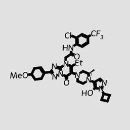 CCc1c(N2CCN(c3cnn(C4CCC4)c3O)[C@H](C)C2)c(=O)n2nc(C3=CCC(OC)CC3)nc2n1CC(=O)Nc1ccc(C(F)(F)F)cc1Cl